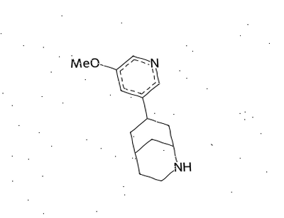 COc1cncc(C2CC3CCNC(C3)C2)c1